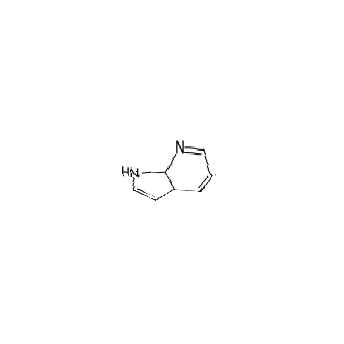 [C]1=CC2C=CNC2N=C1